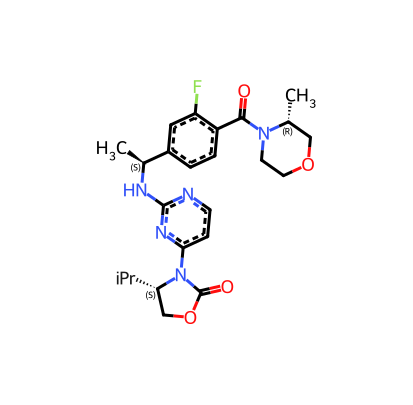 CC(C)[C@H]1COC(=O)N1c1ccnc(N[C@@H](C)c2ccc(C(=O)N3CCOC[C@H]3C)c(F)c2)n1